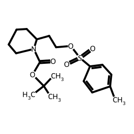 Cc1ccc(S(=O)(=O)OCCC2CCCCN2C(=O)OC(C)(C)C)cc1